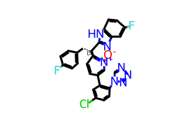 [O-][n+]1cc(-c2cc(Cl)ccc2-n2cnnn2)ccc1[C@H](Cc1ccc(F)cc1)c1nc2cc(F)ccc2[nH]1